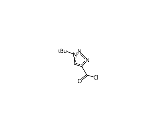 CC(C)(C)n1cc(C(=O)Cl)nn1